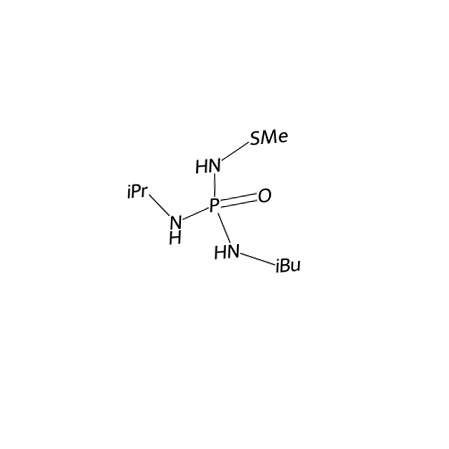 CCC(C)NP(=O)(NSC)NC(C)C